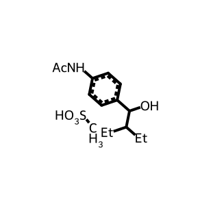 CCC(CC)C(O)c1ccc(NC(C)=O)cc1.CS(=O)(=O)O